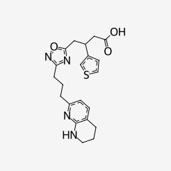 O=C(O)CC(Cc1nc(CCCc2ccc3c(n2)NCCC3)no1)c1ccsc1